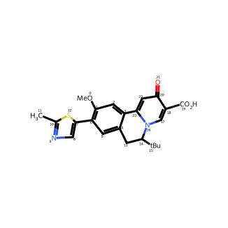 COc1cc2c(cc1-c1cnc(C)s1)CC(C(C)(C)C)n1cc(C(=O)O)c(=O)cc1-2